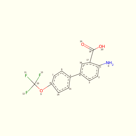 Nc1ccc(-c2ccc(OC(F)(F)F)cc2)cc1C(=O)O